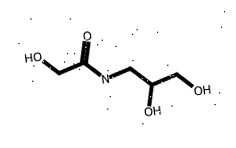 O=C(CO)[N]CC(O)CO